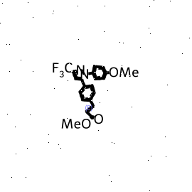 COC(=O)/C=C/c1ccc(-c2cc(C(F)(F)F)nn2-c2ccc(OC)cc2)cc1